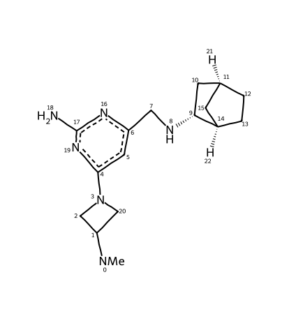 CNC1CN(c2cc(CN[C@@H]3C[C@H]4CC[C@@H]3C4)nc(N)n2)C1